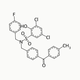 Cc1ccc(C(=O)c2ccc(CN(Cc3ccc(F)cc3)S(=O)(=O)c3cc(Cl)cc(Cl)c3O)cc2)cc1